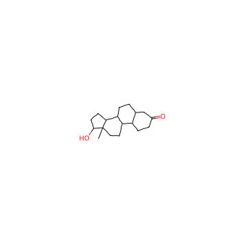 CC12CCC3C4CCC(=O)CC4CCC3C1CCC2O